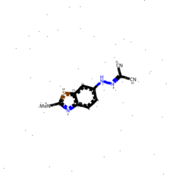 CNc1nc2ccc(NN=C(C#N)C#N)cc2s1